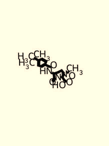 CC(=O)N1CC2C(NC(=O)c3ccc(C(C)(C)C)cc3)C(=O)N2C1C(=O)O